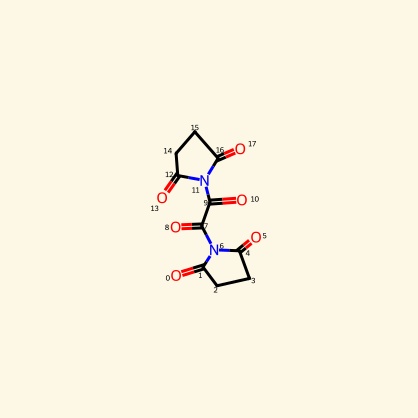 O=C1CCC(=O)N1C(=O)C(=O)N1C(=O)CCC1=O